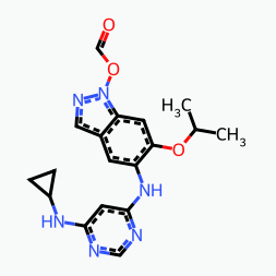 CC(C)Oc1cc2c(cnn2OC=O)cc1Nc1cc(NC2CC2)ncn1